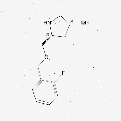 O[C@H]1CN[C@H](COCc2ccccc2F)C1